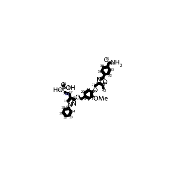 COc1cc(COc2nn(-c3ccccc3)cc2/C=C/P(=O)(O)O)ccc1OCc1nc(-c2ccc(C(N)=O)cc2)oc1C